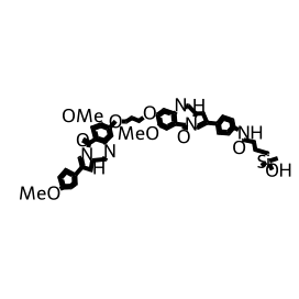 COc1ccc(C2=CN3C(=O)c4cc(OC)c(OCCCOc5cc6c(cc5OC)C(=O)N5C=C(c7ccc(NC(=O)CCC[Si](C)(C)O)cc7)C[C@H]5C=N6)cc4N=C[C@@H]3C2)cc1